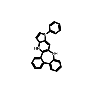 C1=CN(c2ccccc2)C2=CC3=C(NC12)c1ccccc1-c1ccccc1N3